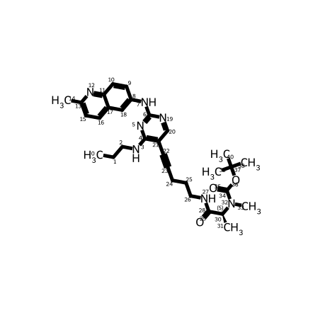 CCCNc1nc(Nc2ccc3nc(C)ccc3c2)ncc1C#CCCCNC(=O)[C@H](C)N(C)C(=O)OC(C)(C)C